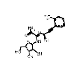 N=C(C#Cc1ccccc1C(F)(F)F)/N=C(\N[C@@H]1O[C@H](CO)C(O)C1O)C(N)=O